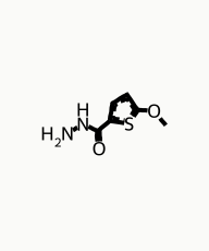 COc1ccc(C(=O)NN)s1